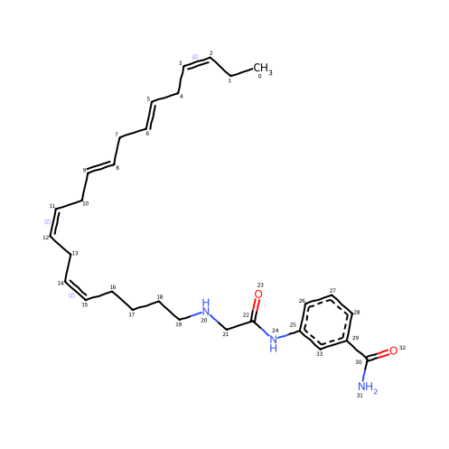 CC/C=C\CC=CCC=CC/C=C\C/C=C\CCCCNCC(=O)Nc1cccc(C(N)=O)c1